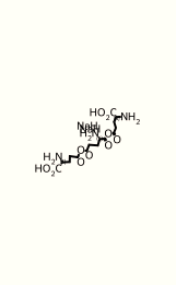 N[C@@H](CCC(=O)OC(=O)CC[C@H](N)C(=O)OC(=O)CC[C@H](N)C(=O)O)C(=O)O.[NaH].[NaH]